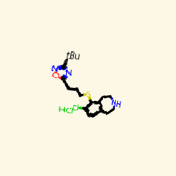 CC(C)(C)c1noc(CCCSc2c(Cl)ccc3c2CCNCC3)n1.Cl